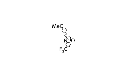 COc1ccc(CSc2nc3cc(C(F)(F)F)ccc3c(=O)o2)cc1